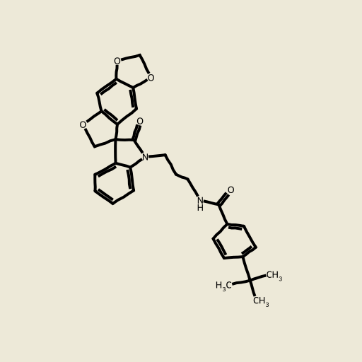 CC(C)(C)c1ccc(C(=O)NCCCN2C(=O)C3(COc4cc5c(cc43)OCO5)c3ccccc32)cc1